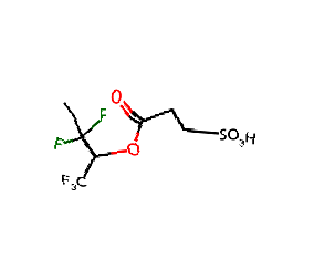 CC(F)(F)C(OC(=O)CCS(=O)(=O)O)C(F)(F)F